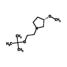 CO[C@H]1CCN(CCOC(C)(C)C)C1